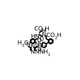 CN(Cc1cnc2nc(N)nc(N)c2n1)c1ccc(C(=O)N[C@@H](CCC(=O)O)C(=O)N[C@@H](Cc2ccccc2C2CCCCC2)C(=O)O)cc1